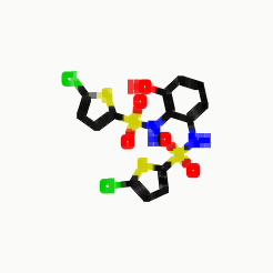 O=S(=O)(Nc1cccc(O)c1NS(=O)(=O)c1ccc(Cl)s1)c1ccc(Cl)s1